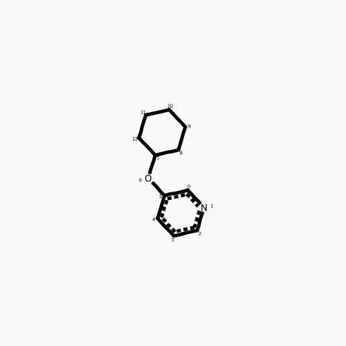 [c]1ncccc1OC1CCCCC1